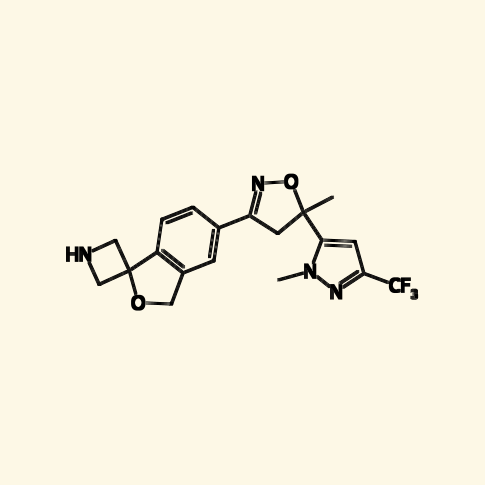 Cn1nc(C(F)(F)F)cc1C1(C)CC(c2ccc3c(c2)COC32CNC2)=NO1